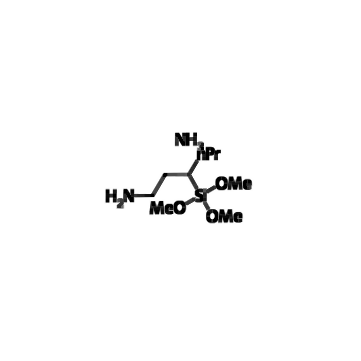 CCCC(CCN)[Si](OC)(OC)OC.N